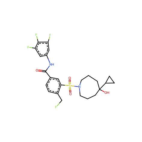 O=C(Nc1cc(F)c(F)c(F)c1)c1ccc(CF)c(S(=O)(=O)N2CCCC(O)(C3CC3)CCC2)c1